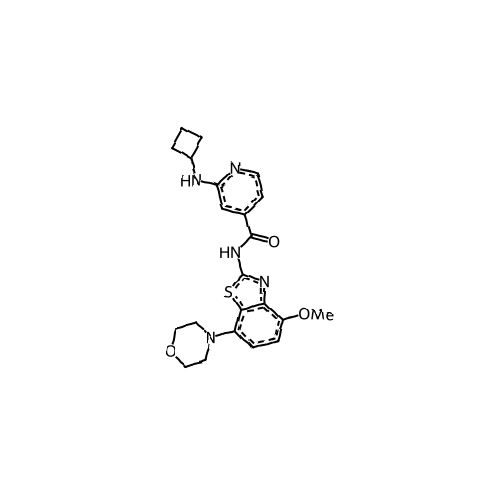 COc1ccc(N2CCOCC2)c2sc(NC(=O)c3ccnc(NC4CCC4)c3)nc12